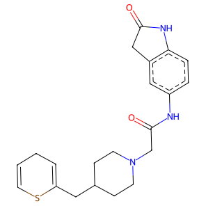 O=C(CN1CCC(CC2=CCC=CS2)CC1)Nc1ccc2c(c1)CC(=O)N2